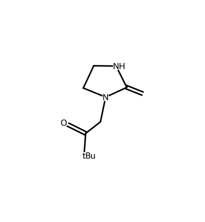 C=C1NCCN1CC(=O)C(C)(C)C